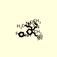 C=C(c1ncc(C)s1)C1(Cc2cc(C)nn2C)CC=C(Nc2ccc(F)cc2)C=C1CCNS